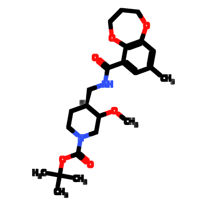 COC1CN(C(=O)OC(C)(C)C)CC[C@H]1CNC(=O)c1cc(C)cc2c1OCCCO2